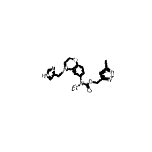 CCN(C(=O)OCc1cc(C)on1)c1ccc2c(c1)N(Cc1c[nH]cn1)CCO2